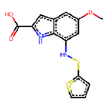 COc1cc(NSc2cccs2)c2[nH]c(C(=O)O)cc2c1